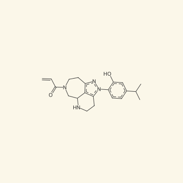 C=CC(=O)N1CCc2nn(-c3ccc(C(C)C)cc3O)c3c2C(C1)NCC3